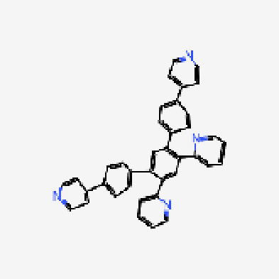 c1ccc(-c2cc(-c3ccccn3)c(-c3ccc(-c4ccncc4)cc3)cc2-c2ccc(-c3ccncc3)cc2)nc1